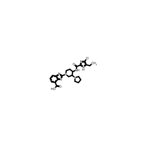 CCc1[nH]c(C(=O)NC2CCN(c3nc4cccc(C(=O)O)c4s3)CC2N2CCCC2)nc1Cl